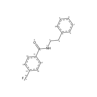 O=C(NCCc1ccccc1)c1ccc(C(F)(F)F)cc1